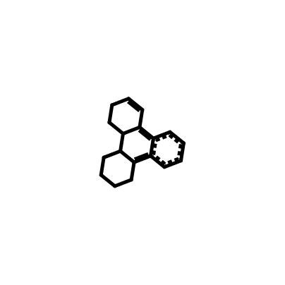 C1=CC2=c3ccccc3=C3CCCCC3C2CC1